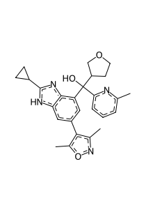 Cc1cccc(C(O)(c2cc(-c3c(C)noc3C)cc3[nH]c(C4CC4)nc23)C2CCOC2)n1